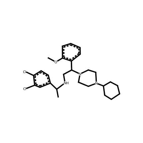 COc1ccccc1C(CNC(C)c1ccc(Cl)c(Cl)c1)N1CCN(C2CCCCC2)CC1